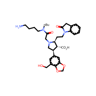 CCCCN(CCCCN)C(=O)CN1C[C@H](c2cc(CO)c3c(c2)OCO3)[C@@H](C(=O)O)[C@@H]1CCN1C(=O)Cc2ccccc21